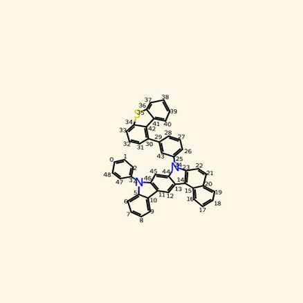 c1ccc(-n2c3ccccc3c3cc4c5c6ccccc6ccc5n(-c5cccc(-c6cccc7sc8ccccc8c67)c5)c4cc32)cc1